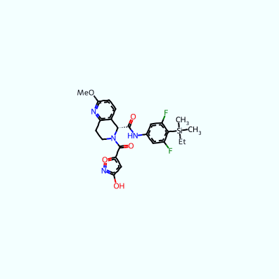 CC[Si](C)(C)c1c(F)cc(NC(=O)[C@H]2c3ccc(OC)nc3CCN2C(=O)c2cc(O)no2)cc1F